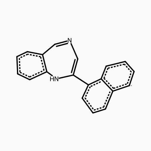 [c]1cccc2c(C3=CN=Cc4ccccc4N3)cccc12